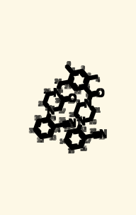 Cc1cc(C)c(C(=O)N2CCN(c3ccccc3C#N)CC2)cc1CN1CCN(c2ccccc2C#N)CC1=O